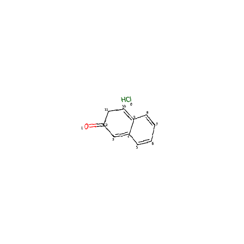 Cl.O=C1C=c2ccccc2=CC1